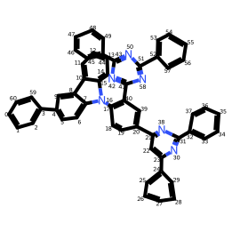 c1ccc(-c2ccc3c(c2)c2ccccc2n3-c2ccc(-c3cc(-c4ccccc4)nc(-c4ccccc4)n3)cc2-c2nc(-c3ccccc3)nc(-c3ccccc3)n2)cc1